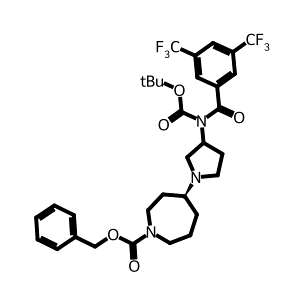 CC(C)(C)OC(=O)N(C(=O)c1cc(C(F)(F)F)cc(C(F)(F)F)c1)C1CCN([C@H]2CCCN(C(=O)OCc3ccccc3)CC2)C1